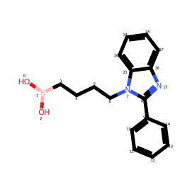 OB(O)CCCCn1c(-c2ccccc2)nc2ccccc21